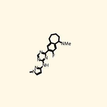 CNC1CCCCc2cc(-c3ncnc(Nc4ccn(C)n4)n3)c(F)cc21